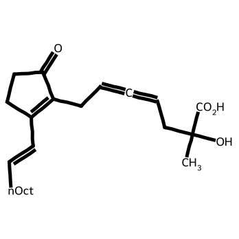 CCCCCCCC/C=C/C1=C(CC=C=CCC(C)(O)C(=O)O)C(=O)CC1